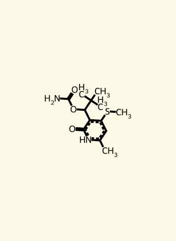 CSc1cc(C)[nH]c(=O)c1C(OC(N)=O)C(C)(C)C